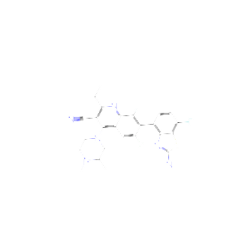 CCc1nc2c(F)c(-c3ccc(F)c4sc(N)nc34)c(Cl)cc2c(N2CCN(C)C(C)C2)c1C#N